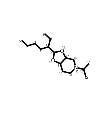 CCCCC(CC)C1OC2CCN(C(C)C)CC2O1